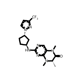 C[C@H]1C(=O)N(C)c2cnc(N[C@H]3CC[C@H](n4ccc(C(F)(F)F)n4)C3)nc2N1C